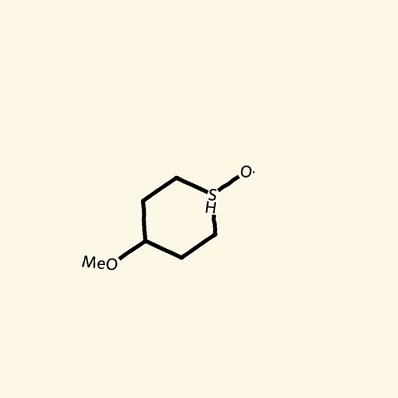 COC1CC[SH]([O])CC1